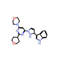 C1=CN(c2cc(N3CCOCC3)nc(C3CCOCC3)n2)NC1c1c[nH]c2ccccc12